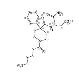 NCCCCC(=O)N1CCC(C(=O)N[C@@H](CC(=O)O)C(N)=O)(c2ccccc2)CC1